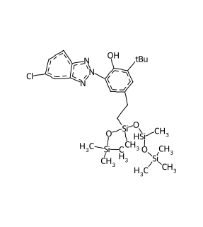 C[SiH](O[Si](C)(C)C)O[Si](C)(CCc1cc(-n2nc3ccc(Cl)cc3n2)c(O)c(C(C)(C)C)c1)O[Si](C)(C)C